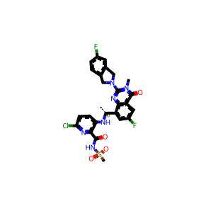 C[C@@H](Nc1ccc(Cl)nc1C(=O)NS(C)(=O)=O)c1cc(F)cc2c(=O)n(C)c(N3Cc4ccc(F)cc4C3)nc12